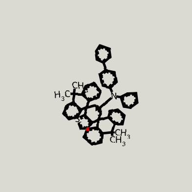 CC1(C)c2ccccc2C2(c3ccccc31)c1cc(N(c3ccccc3)c3ccc(-c4ccccc4)cc3)sc1C1(c3ccccc3C(C)(C)c3ccccc31)c1ccsc12